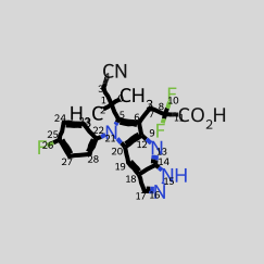 CC(C)(CC#N)c1c(CC(F)(F)C(=O)O)c2nc3[nH]ncc3cc2n1-c1ccc(F)cc1